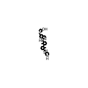 Cc1c(Nc2nccc3cc(CN4CCC(O)C4)cnc23)cccc1-c1cccc(-c2nc3c(s2)CNCC3)c1C